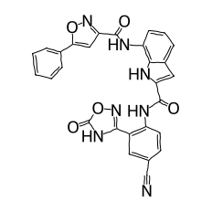 N#Cc1ccc(NC(=O)c2cc3cccc(NC(=O)c4cc(-c5ccccc5)on4)c3[nH]2)c(-c2noc(=O)[nH]2)c1